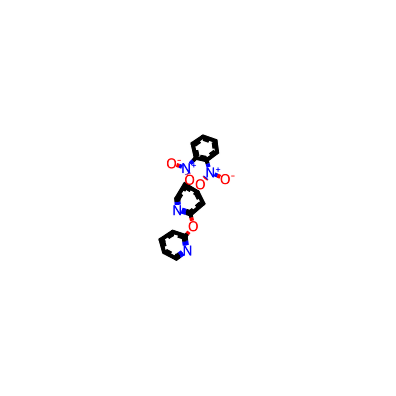 O=[N+]([O-])c1ccccc1[N+](=O)[O-].c1ccc(Oc2ccccn2)nc1